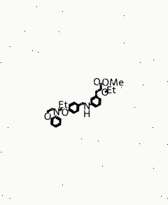 CCOC(Cc1cccc(NCc2ccc(OC(CC)N3CCOc4ccccc43)cc2)c1)C(=O)OC